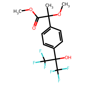 COC(=O)C(C)(OC)c1ccc(C(O)(C(F)(F)F)C(F)(F)F)cc1